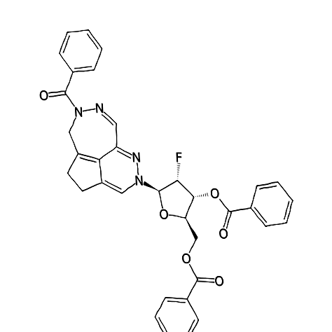 O=C(OC[C@H]1O[C@@H](N2C=C3CCC4=C3C(=N2)C=NN(C(=O)c2ccccc2)C4)[C@H](F)[C@@H]1OC(=O)c1ccccc1)c1ccccc1